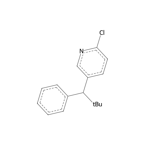 CC(C)(C)C(c1ccccc1)c1ccc(Cl)nc1